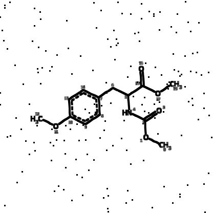 COC(=O)NC(Cc1ccc(OC)cc1)C(=O)OC